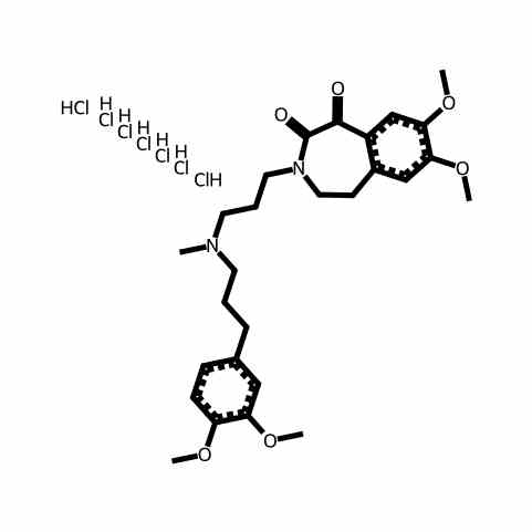 COc1ccc(CCCN(C)CCCN2CCc3cc(OC)c(OC)cc3C(=O)C2=O)cc1OC.Cl.Cl.Cl.Cl.Cl.Cl.Cl